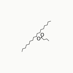 CCCCCCCCC(CCCCCCCC)OC(=O)CCC